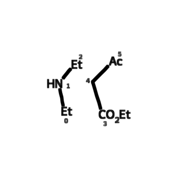 CCNCC.CCOC(=O)CC(C)=O